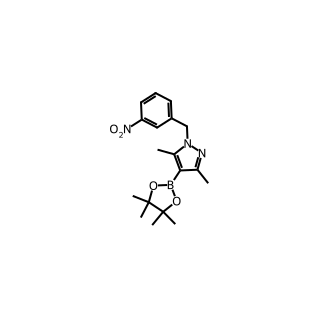 Cc1nn(Cc2cccc([N+](=O)[O-])c2)c(C)c1B1OC(C)(C)C(C)(C)O1